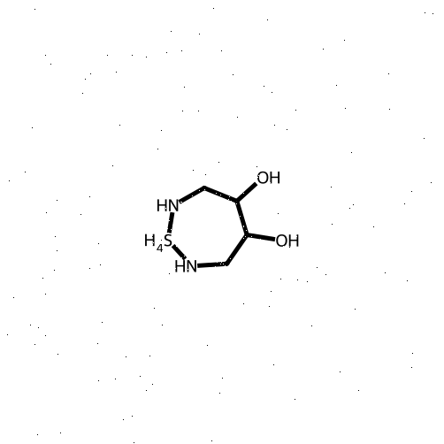 OC1CN[SH4]NCC1O